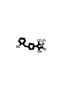 CCOC(=O)c1c(-c2ccc(Cc3ccccc3C#N)cc2)c(C#N)c(CC)n1C